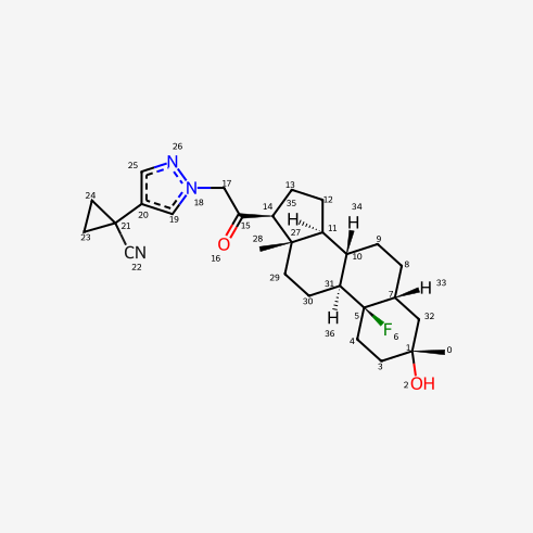 C[C@@]1(O)CC[C@@]2(F)[C@H](CC[C@H]3[C@@H]4CC[C@H](C(=O)Cn5cc(C6(C#N)CC6)cn5)[C@@]4(C)CC[C@@H]32)C1